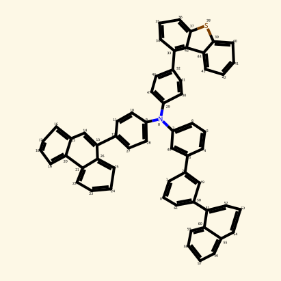 c1cc(-c2cccc(N(c3ccc(-c4cc5ccccc5c5ccccc45)cc3)c3ccc(-c4cccc5sc6ccccc6c45)cc3)c2)cc(-c2cccc3ccccc23)c1